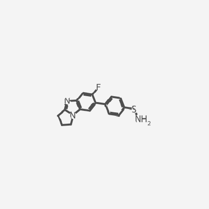 NSc1ccc(-c2cc3c(cc2F)nc2n3CCC2)cc1